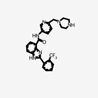 O=C(Nc1ccc(CN2CCNCC2)nc1)c1cccc2[nH]c(-c3ccccc3C(F)(F)F)nc12